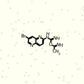 CC(=N)OC(=N)Nc1ccc2ncc(Br)cc2n1